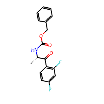 C[C@H](NC(=O)OCc1ccccc1)C(=O)c1ccc(F)cc1F